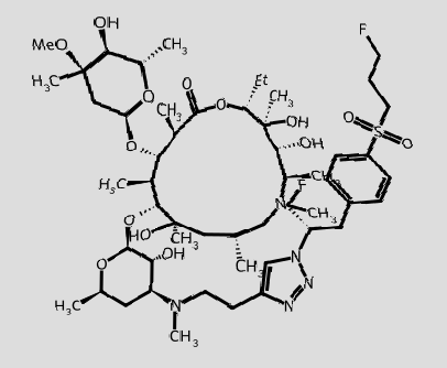 CC[C@H]1OC(=O)[C@H](C)[C@@H](O[C@H]2C[C@@](C)(OC)[C@@H](O)[C@H](C)O2)[C@H](C)[C@@H](O[C@@H]2O[C@H](C)C[C@H](N(C)CCc3cn([C@H](CF)Cc4ccc(S(=O)(=O)CCCF)cc4)nn3)[C@H]2O)[C@](C)(O)C[C@@H](C)CN(C)[C@H](C)[C@@H](O)[C@]1(C)O